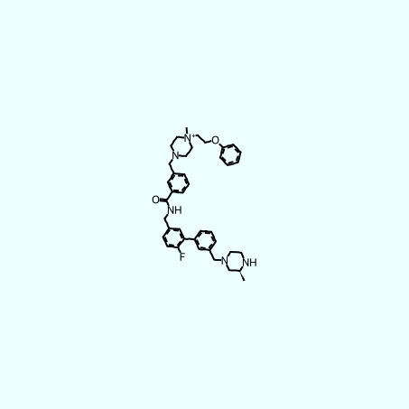 C[C@H]1CN(Cc2cccc(-c3cc(CNC(=O)c4cccc(CN5CC[N+](C)(CCOc6ccccc6)CC5)c4)ccc3F)c2)CCN1